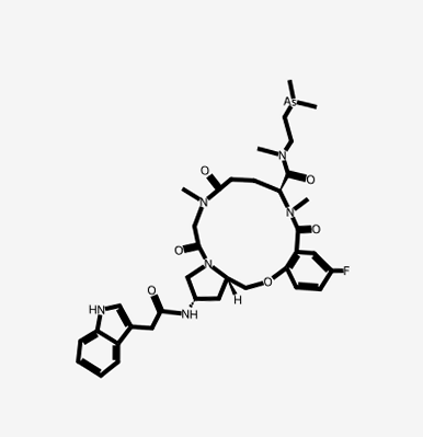 CN1CC(=O)N2C[C@@H](NC(=O)Cc3c[nH]c4ccccc34)C[C@H]2COc2ccc(F)cc2C(=O)N(C)[C@H](C(=O)N(C)CC[As](C)C)CCC1=O